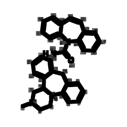 CN1CCN2c3ccccc3Cc3ccccc3C2C1.NC(=O)N1c2ccccc2C=Cc2ccccc21